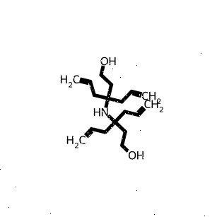 C=CCC(CC=C)(CCO)NC(CC=C)(CC=C)CCO